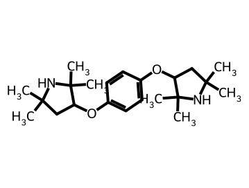 CC1(C)CC(Oc2ccc(OC3CC(C)(C)NC3(C)C)cc2)C(C)(C)N1